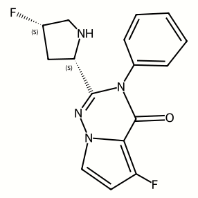 O=c1c2c(F)ccn2nc([C@@H]2C[C@H](F)CN2)n1-c1ccccc1